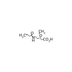 C=CCC(=O)NCC[C@H](CC(=O)O)OC=C